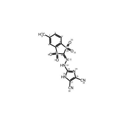 Cc1ccc2c(c1)S(=O)(=O)C(=NNc1nc(C#N)c(C#N)[nH]1)S2(=O)=O